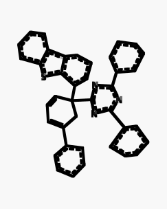 C1=CC(c2nc(-c3ccccc3)nc(-c3ccccc3)n2)(c2cccc3c2sc2ccccc23)CC(c2ccccc2)=C1